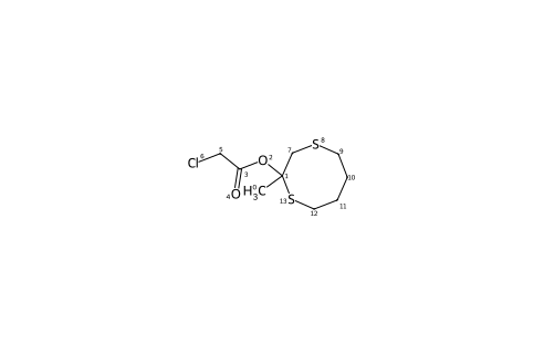 CC1(OC(=O)CCl)CSCCCCS1